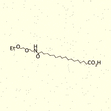 [CH2]COCCOCCNC(=O)CCCCCCCCCCCCCCCCC(=O)O